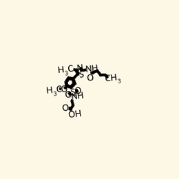 CCCCC(=O)Nc1nc(C)c(-c2ccc(OC)c(S(=O)(=O)NCCC(=O)O)c2)s1